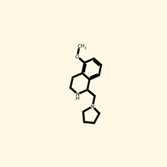 COc1cccc2c1CCNC2CN1CCCC1